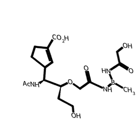 CB(NC(=O)CO)NC(=O)CO[C@@H](CCO)[C@@H](NC(C)=O)C1C=C(C(=O)O)CC1